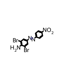 Nc1c(Br)cc(/N=N/c2ccc([N+](=O)[O-])cc2)cc1Br